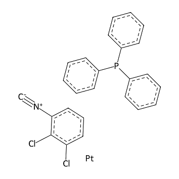 [C-]#[N+]c1cccc(Cl)c1Cl.[Pt].c1ccc(P(c2ccccc2)c2ccccc2)cc1